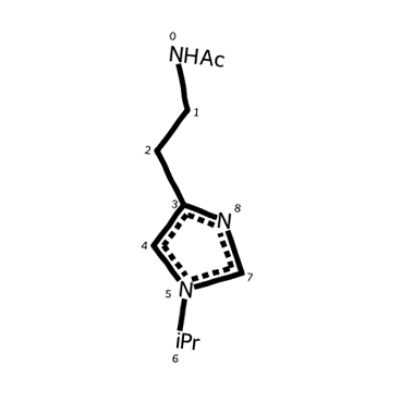 CC(=O)NCCc1cn(C(C)C)cn1